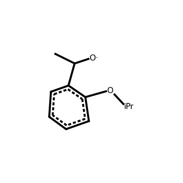 CC(C)Oc1ccccc1C(C)[O]